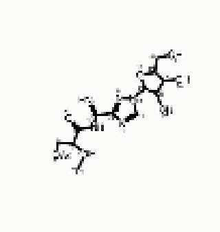 CC(=O)OCC(NCl)C(=O)NC(=N)c1ncn(C2OC(CO)C(O)C2O)n1